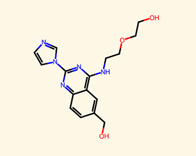 OCCOCCNc1nc(-n2ccnc2)nc2ccc(CO)cc12